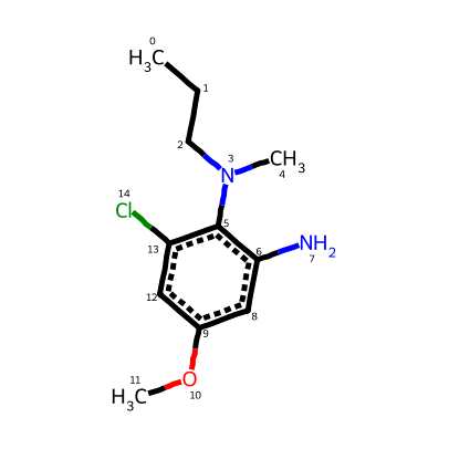 CCCN(C)c1c(N)cc(OC)cc1Cl